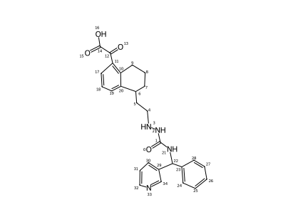 O=C(NNCCC1CCCc2c(C(=O)C(=O)O)cccc21)NC(c1ccccc1)c1cccnc1